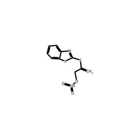 C=C(CO[SH](=O)=O)Sc1nc2ccccc2s1